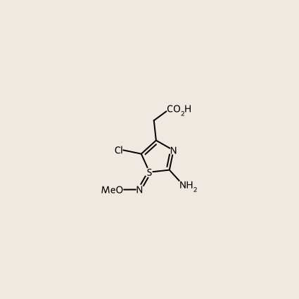 CON=S1C(N)=NC(CC(=O)O)=C1Cl